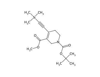 COC(=O)C1=C(C#C[Si](C)(C)C)CCN(C(=O)OC(C)(C)C)C1